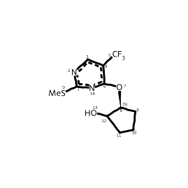 CSc1ncc(C(F)(F)F)c(O[C@H]2CCCC2O)n1